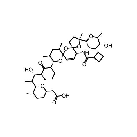 CCC(C(=O)[C@@H](C)[C@@H](O)[C@H](C)[C@@H]1O[C@@H](CC(=O)O)CC[C@@H]1C)[C@H]1O[C@]2(C=CC(NC(=O)C3CCC3)[C@]3(CC[C@@](C)([C@H]4CC[C@@H](O)[C@H](C)O4)O3)O2)[C@H](C)C[C@@H]1C